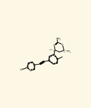 C[C@@]1(c2cc(C#Cc3ccc(Cl)nc3)ccc2F)C[C@@H](C(F)(F)F)OC(N)=N1